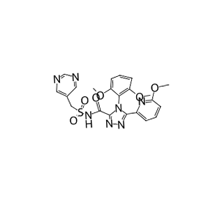 COc1cccc(-c2nnc(C(=O)NS(=O)(=O)Cc3cncnc3)n2-c2c(OC)cccc2OC)n1